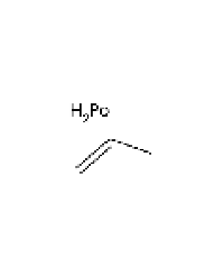 C=CC.[PoH2]